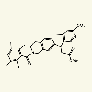 COC(=O)CC(c1ccc2c(c1)CN(C(=O)c1c(C)c(C)cc(C)c1C)CC2)c1cnc(OC)cc1C